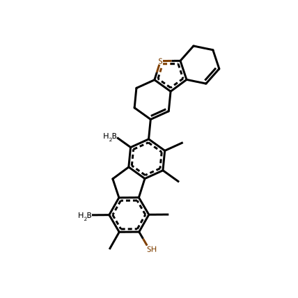 Bc1c(C)c(S)c(C)c2c1Cc1c(B)c(C3=Cc4c(sc5c4C=CCC5)CC3)c(C)c(C)c1-2